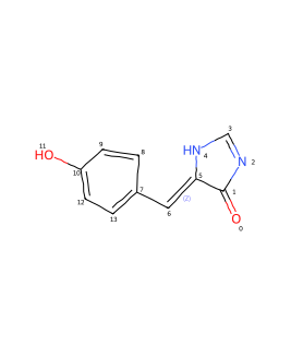 O=C1N=CN/C1=C\c1ccc(O)cc1